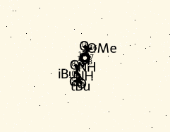 CCC(C)C(NC(=O)OC(C)(C)C)C(=O)Nc1ccc(C(=O)OC)cc1